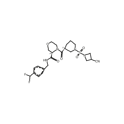 N#CC1CN(S(=O)(=O)N2CCC[C@H](C(=O)N3CCOC[C@@H]3C(=O)NCc3ccc(C(F)F)cc3)C2)C1